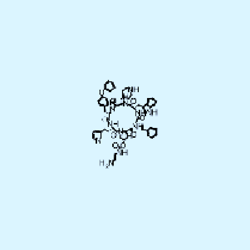 NCCNC(=O)O[C@@H]1C[C@H]2C(=O)N[C@@H](CCc3ccccc3)C(=O)N[C@H](Cc3c[nH]c4ccccc34)C(=O)N[C@@H](CC3CCNCC3)C(=O)N[C@@H](Cc3ccc(Oc4ccccc4)cc3)C(=O)N[C@@H](CCc3cccnc3)C(=O)N2C1